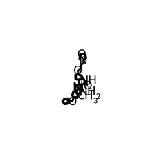 Cc1cc(Oc2ccccc2)ccc1-n1nc2c(c1N)c(=O)[nH]c1cc(OCCCN3CCOCC3)ccc12